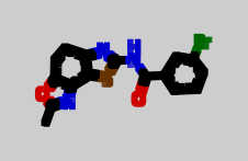 Cc1nc2c(ccc3nc(NC(=O)c4cccc(Br)c4)sc32)o1